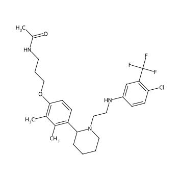 CC(=O)NCCCOc1ccc(C2CCCCN2CCNc2ccc(Cl)c(C(F)(F)F)c2)c(C)c1C